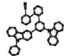 N#Cc1ccccc1-c1ccccc1-c1cc(-c2ccc3c(c2)c2ccccc2n3-c2ccccc2)cc(-n2c3ccccc3c3ccccc32)c1